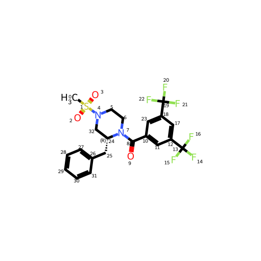 CS(=O)(=O)N1CCN(C(=O)c2cc(C(F)(F)F)cc(C(F)(F)F)c2)[C@H](Cc2ccccc2)C1